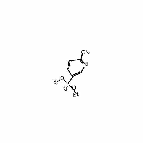 CCOP(=O)(OCC)c1ccc(C#N)nc1